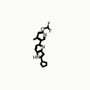 Cc1cc(OC(F)F)ncc1-c1ccc2[nH]c(C3CCCC3)cc2n1